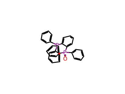 O=P(c1ccccc1)(c1ccccc1)c1ccccc1P(c1ccccc1)c1ccccc1